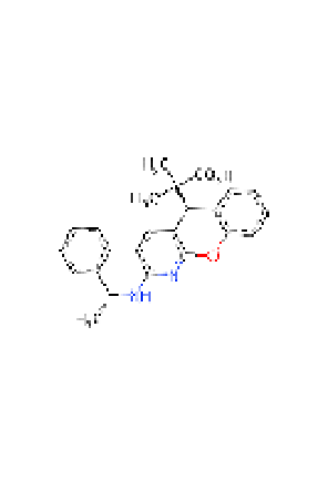 C[C@@H](Nc1ccc2c(n1)Oc1ccccc1[C@@H]2C(C)(C)C(=O)O)c1ccccc1